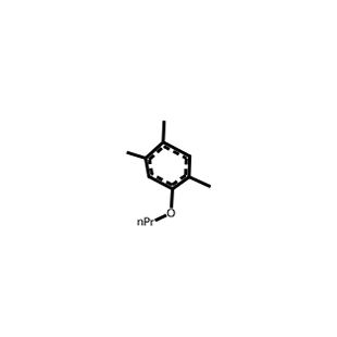 CCCOc1cc(C)c(C)cc1C